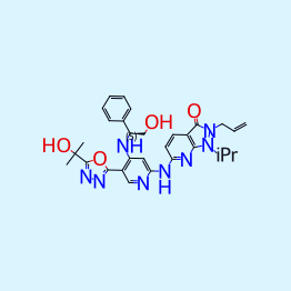 C=CCn1c(=O)c2ccc(Nc3cc(N[C@H](CO)c4ccccc4)c(-c4nnc(C(C)(C)O)o4)cn3)nc2n1C(C)C